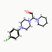 O=CC(N1CCCCC1)N1CCN(c2ccc(F)cc2)CC1